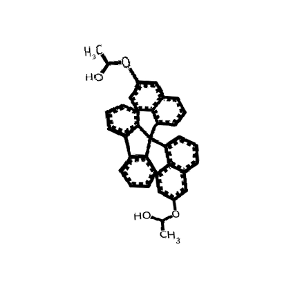 CC(O)Oc1ccc2c(C3(c4cccc5cc(OC(C)O)ccc45)c4ccccc4-c4ccccc43)cccc2c1